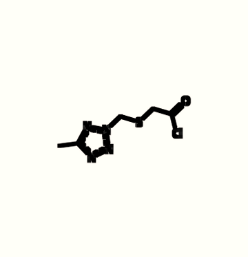 Cc1nnn(CSCC(=O)Cl)n1